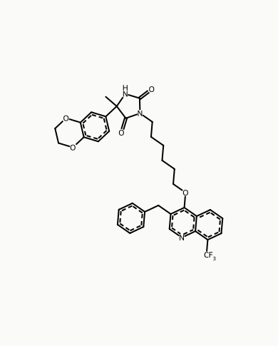 CC1(c2ccc3c(c2)OCCO3)NC(=O)N(CCCCCCOc2c(Cc3ccccc3)cnc3c(C(F)(F)F)cccc23)C1=O